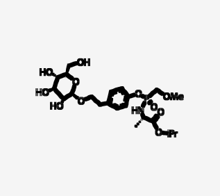 COCP(=O)(N[C@@H](C)C(=O)OC(C)C)Oc1ccc(CCO[C@@H]2O[C@H](CO)[C@@H](O)[C@H](O)[C@H]2O)cc1